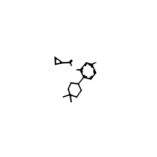 CC1(C)CCC(c2ccc(Cl)cc2OC(=O)C2CC2)CC1